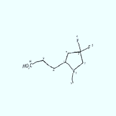 CN1CC(F)(F)CC1CCC(=O)O